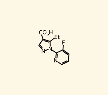 CCc1c(C(=O)O)cnn1-c1ncccc1F